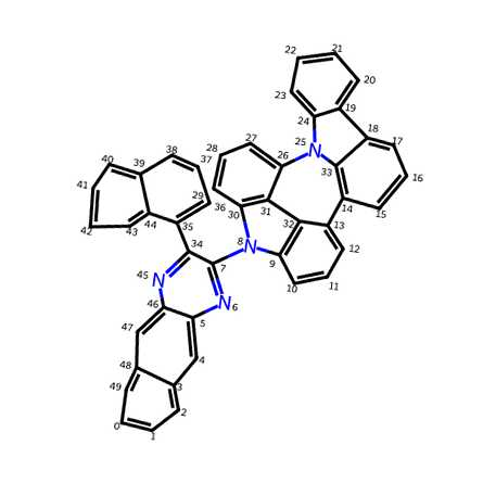 c1ccc2cc3nc(-n4c5cccc6c7cccc8c9ccccc9n(c9cccc4c9c65)c78)c(-c4cccc5ccccc45)nc3cc2c1